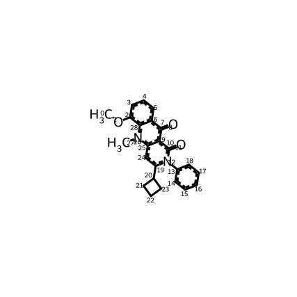 COc1cccc2c(=O)c3c(=O)n(-c4ccccc4)c(C4CCC4)cc3n(C)c12